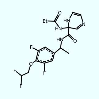 CCC(=O)NC1(C(=O)NC(C)c2cc(F)c(OCC(F)F)c(F)c2)C=NC=CN1